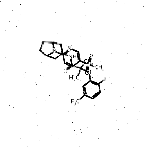 CC(C)(Oc1cc(C(F)(F)F)ccc1F)C(=O)NC1CC2CCC(C1)N2c1ccc(S(C)(=O)=O)cn1